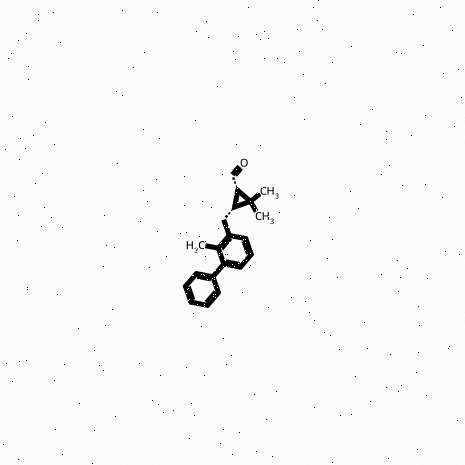 Cc1c(C[C@@H]2[C@H](C=O)C2(C)C)cccc1-c1ccccc1